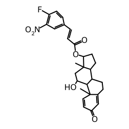 CC12C=CC(=O)C=C1CCC1C2C(O)CC2(C)C(OC(=O)/C=C/c3ccc(F)c([N+](=O)[O-])c3)CCC12